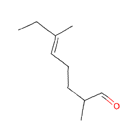 CCC(C)=CCCC(C)C=O